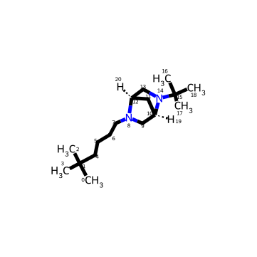 CC(C)(C)CCCCN1C[C@H]2C[C@@H]1CN2C(C)(C)C